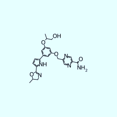 CC1CN=C(c2ccc(-c3cc(OCc4cnc(C(N)=O)cn4)cc(OC(C)CO)c3)[nH]2)O1